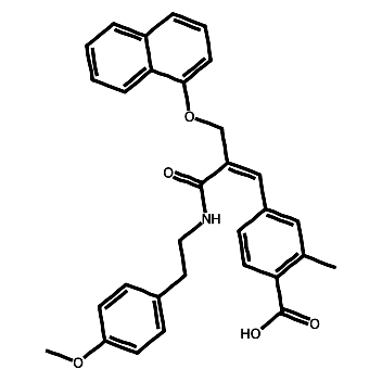 COc1ccc(CCNC(=O)C(=Cc2ccc(C(=O)O)c(C)c2)COc2cccc3ccccc23)cc1